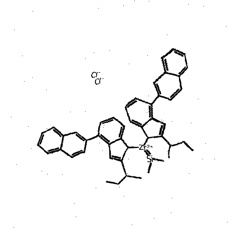 CCC(C)C1=Cc2c(-c3ccc4ccccc4c3)cccc2[CH]1[Zr+2]([CH]1C(C(C)CC)=Cc2c(-c3ccc4ccccc4c3)cccc21)=[Si](C)C.[Cl-].[Cl-]